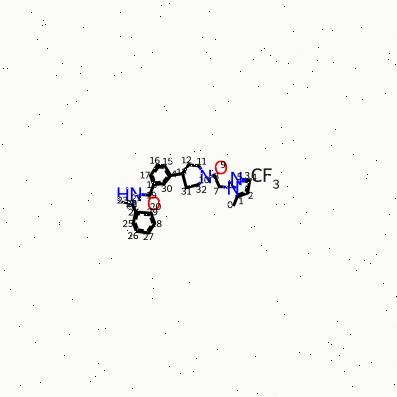 Cc1cc(C(F)(F)F)nn1CC(=O)N1CCC(c2cccc(C(=O)N[C@H](C)c3ccccc3)c2)CC1